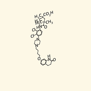 CC(C)(CC(C)(C)C(=O)Nc1ccc(N2CCN(CCCCOc3ccc4c(c3)NC(=O)CC4)CC2)c(Cl)c1Cl)C(=O)O